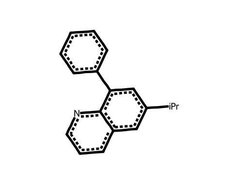 CC(C)c1cc(-c2ccccc2)c2ncccc2c1